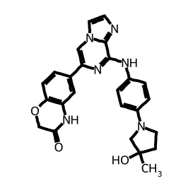 CC1(O)CCN(c2ccc(Nc3nc(-c4ccc5c(c4)NC(=O)CO5)cn4ccnc34)cc2)C1